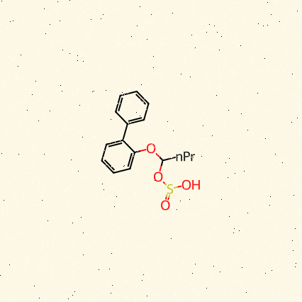 CCCC(Oc1ccccc1-c1ccccc1)OS(=O)O